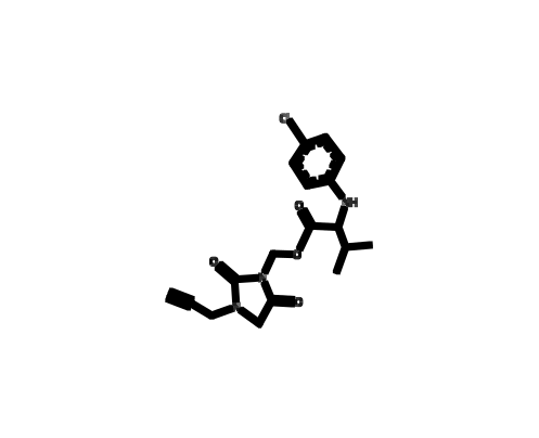 C#CCN1CC(=O)N(COC(=O)C(Nc2ccc(Cl)cc2)C(C)C)C1=O